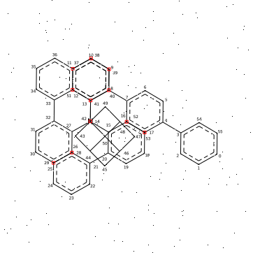 c1ccc(-c2ccc(-c3ccccc3N(c3ccccc3-c3ccccc3)c3ccccc3-c3cccc4cccc(C56CC7CC8CC(C5)C876)c34)cc2)cc1